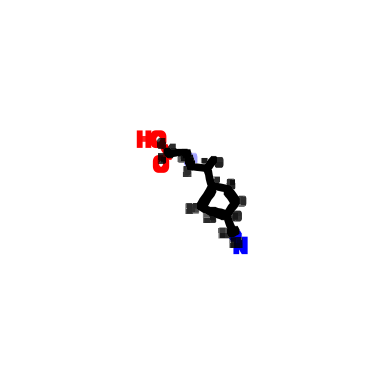 CC(/C=C/C(=O)O)c1ccc(C#N)cc1